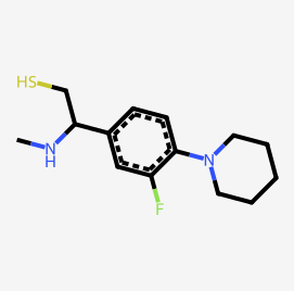 CNC(CS)c1ccc(N2CCCCC2)c(F)c1